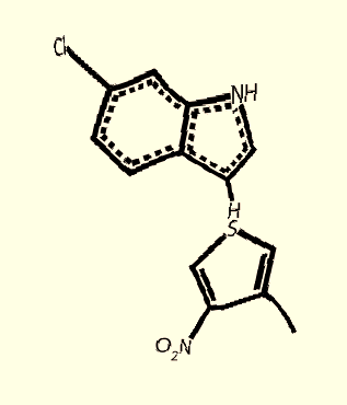 CC1=C[SH](c2c[nH]c3cc(Cl)ccc23)C=C1[N+](=O)[O-]